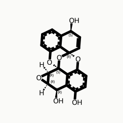 Oc1ccc2c3c1[C@@H](O)[C@H]1O[C@H]1[C@]31Oc3cccc4c3[C@](C=C[C@@H]4O)(O2)O1